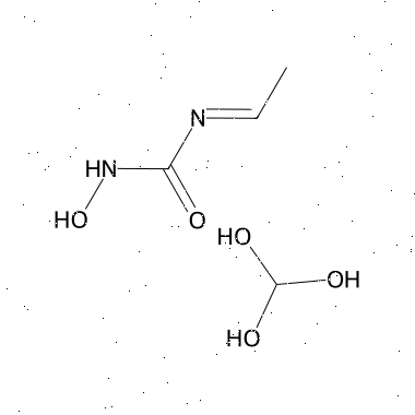 CC=NC(=O)NO.OC(O)O